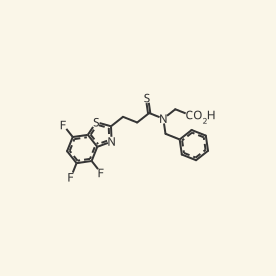 O=C(O)CN(Cc1ccccc1)C(=S)CCc1nc2c(F)c(F)cc(F)c2s1